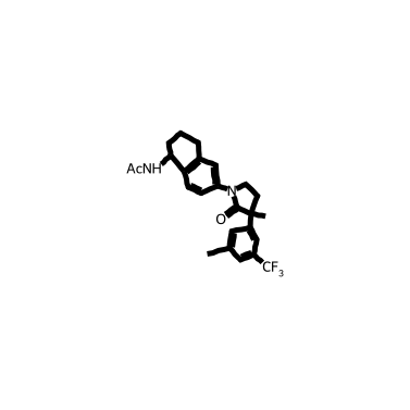 CC(=O)NC1CCCc2cc(N3CCC(C)(c4cc(C)cc(C(F)(F)F)c4)C3=O)ccc21